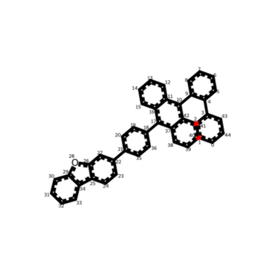 c1ccc(-c2ccccc2-c2c3ccccc3c(-c3ccc(-c4ccc5c(c4)oc4ccccc45)cc3)c3ccccc23)cc1